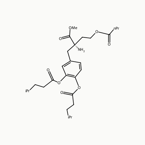 CCCC(=O)OCC[C@@](N)(Cc1ccc(OC(=O)CCC(C)C)c(OC(=O)CCC(C)C)c1)C(=O)OC